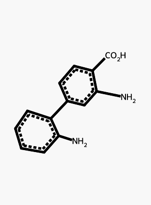 Nc1cc(-c2ccccc2N)ccc1C(=O)O